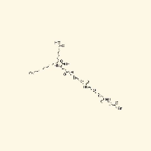 O=CCCCCCCCCCC(CCCCCCC(=O)O)N[C@@H](CCC(=O)NCCOCCOCC(=O)NCCOCCOCC(=O)NCCNC(=O)CBr)C(=O)O